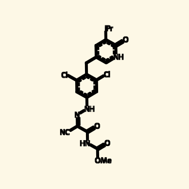 COC(=O)NC(=O)/C(C#N)=N\Nc1cc(Cl)c(Cc2c[nH]c(=O)c(C(C)C)c2)c(Cl)c1